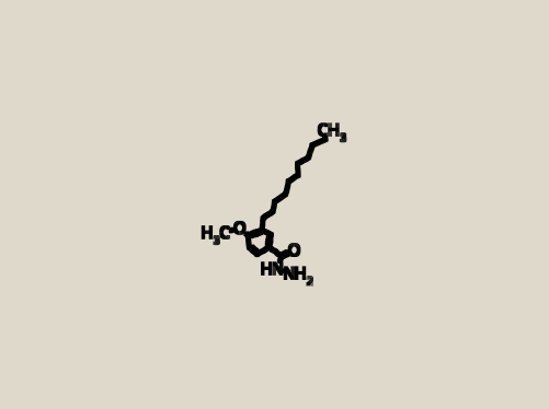 CCCCCCCCCCCc1cc(C(=O)NN)ccc1OC